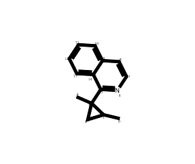 CC1CC1(C)c1nccc2ccccc12